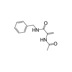 C=C(NC(C)=O)C(=O)NCc1ccccc1